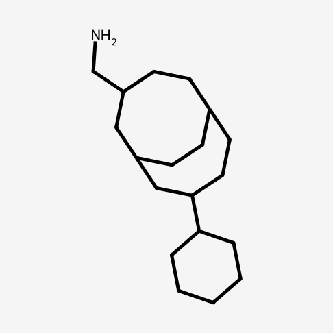 NCC1CCC2CCC(C1)CC(C1CCCCC1)CC2